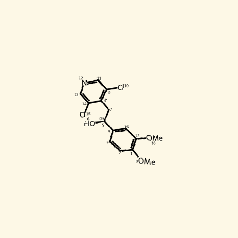 COc1ccc([C@@H](O)Cc2c(Cl)cncc2Cl)cc1OC